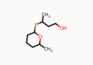 CC1CCCC(SC(C)CCO)O1